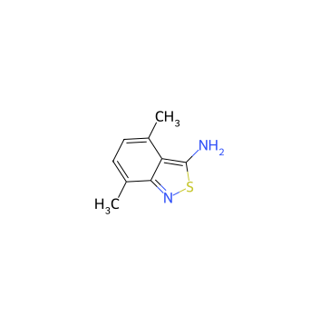 Cc1ccc(C)c2c(N)snc12